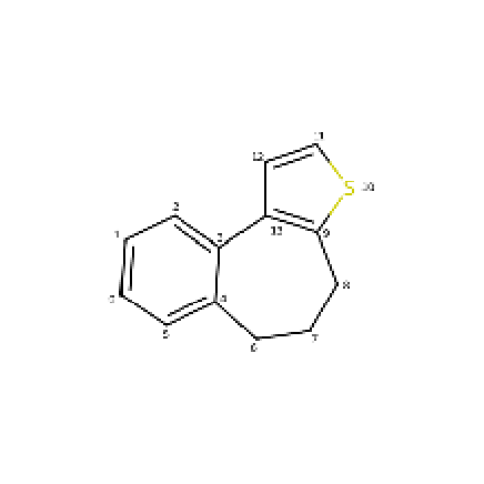 c1ccc2c(c1)CCCc1sccc1-2